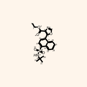 CCOC(=O)c1ncoc1-c1ccc(S(=O)(=O)NC(C)(C)C)c2ccccc12